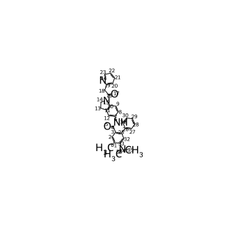 Cc1cc(C(=O)Nc2ccc3c(c2)CCN3C(=O)Cc2ccccn2)c(-c2ccccc2)cc1N(C)C